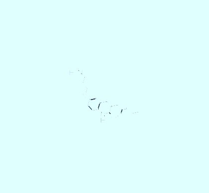 CCOC(=O)CC1Cc2cc(OCCCN)ccc2NC1=O